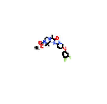 CC(C(=O)Nc1ccc(Oc2ccc(F)c(F)c2)cn1)N1CCN(C(=O)OC(C)(C)C)C(C)(C)C1